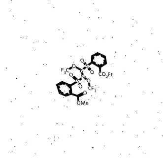 CCOC(=O)c1ccccc1S(=O)(=O)N(OC(F)(F)F)N(OC(F)(F)F)S(=O)(=O)c1ccccc1C(=O)OC